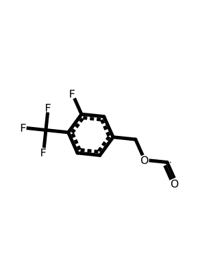 O=[C]OCc1ccc(C(F)(F)F)c(F)c1